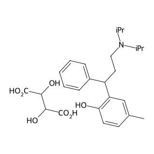 Cc1ccc(O)c(C(CCN(C(C)C)C(C)C)c2ccccc2)c1.O=C(O)C(O)C(O)C(=O)O